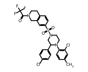 Cc1ccc(N2CCN(S(=O)(=O)c3ccc4c(c3)CN(C(=O)C(F)(F)F)CC4)CC2c2ccc(Cl)cc2)c(Cl)c1